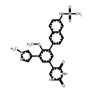 COc1c(-c2ccc3cc(NS(C)(=O)=O)ccc3c2)cc(-c2c[nH]c(=O)[nH]c2=O)cc1-c1cnn(C)c1